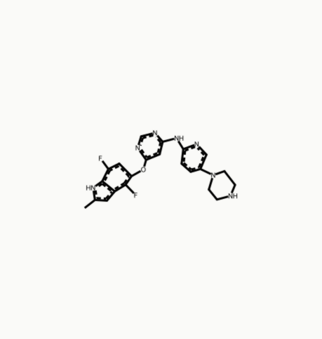 Cc1cc2c(F)c(Oc3cc(Nc4ccc(N5CCNCC5)cn4)ncn3)cc(F)c2[nH]1